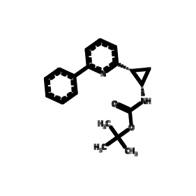 CC(C)(C)OC(=O)N[C@H]1C[C@H]1c1cccc(-c2ccccc2)n1